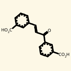 O=C(O)c1cccc(C=CC(=O)c2cccc(C(=O)O)c2)c1